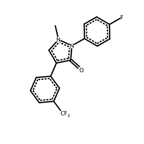 Cn1cc(-c2cccc(C(F)(F)F)c2)c(=O)n1-c1ccc(F)cc1